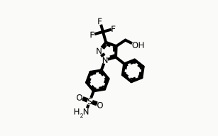 NS(=O)(=O)c1ccc(-n2nc(C(F)(F)F)c(CO)c2-c2ccccc2)cc1